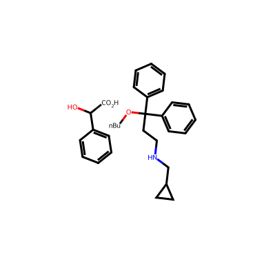 CCCCOC(CCNCC1CC1)(c1ccccc1)c1ccccc1.O=C(O)C(O)c1ccccc1